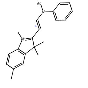 CC(=O)N(/C=C/C1=[N+](C)c2ccc(C)cc2C1(C)C)c1ccccc1